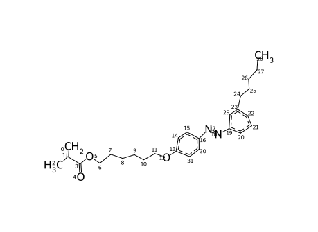 C=C(C)C(=O)OCCCCCCOc1ccc(N=Nc2cccc(CCCCC)c2)cc1